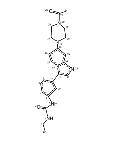 CCNC(=O)Nc1cccc(-c2cnc3cc(N4CCN(C(C)=O)CC4)ccn23)c1